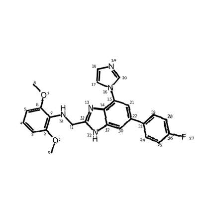 COc1cccc(OC)c1NCc1nc2c(-n3ccnc3)cc(-c3ccc(F)cc3)cc2[nH]1